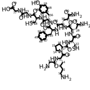 NCCCC[C@H](NC(=O)CN)C(=O)N1CCC[C@H]1C(=O)N[C@@H](CS)C(=O)N[C@@H](CC(N)=O)C(=O)N[C@@H](CCC(N)=O)C(=O)N[C@@H](Cc1ccccc1)C(=O)N[C@@H](Cc1ccc(O)cc1)C(=O)N[C@@H](CS)C(=O)NCC(=O)NCC(=O)O